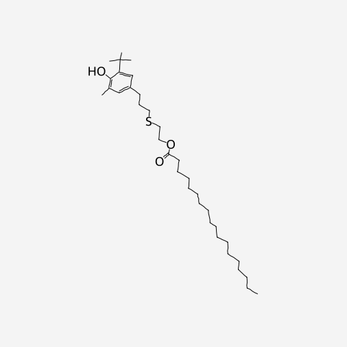 CCCCCCCCCCCCCCCCCC(=O)OCCSCCCc1cc(C)c(O)c(C(C)(C)C)c1